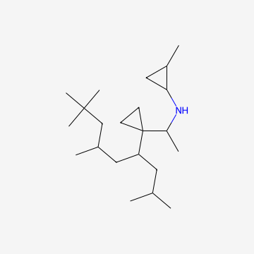 CC(C)CC(CC(C)CC(C)(C)C)C1(C(C)NC2CC2C)CC1